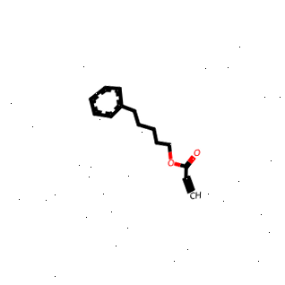 C#CC(=O)OCCCCCc1ccccc1